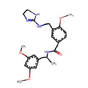 COc1cc(OC)cc(C(C)NC(=O)c2ccc(OC)c(CNC3=NCCN3)c2)c1